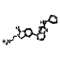 NCCN1Cc2cc(-c3cccc4nc(Nc5ccccc5)nn34)ccc2C1=O